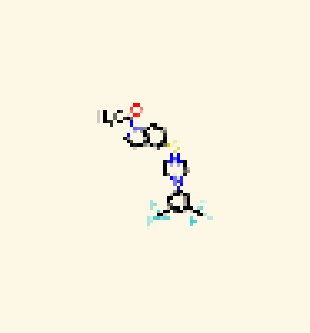 CC(=O)N1CCc2cc(SN3CCN(c4cc(C(F)(F)F)cc(C(F)(F)F)c4)CC3)ccc21